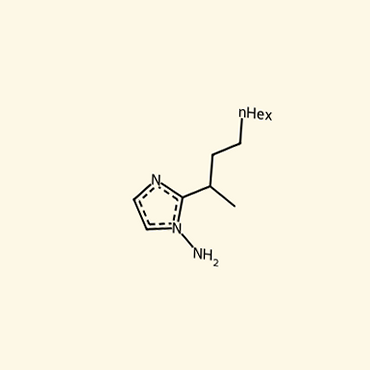 CCCCCCCCC(C)c1nccn1N